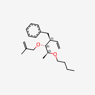 C=C[C@H](Cc1ccccc1)[C@@H](OCC(=C)C)[C@H](C)OCCCC